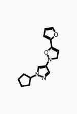 C1=C(c2ccco2)ON(c2cnn(C3CCCC3)c2)C1